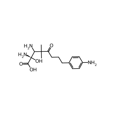 CC(C)(C(=O)CCCc1ccc(N)cc1)C(N)[C@](N)(O)C(=O)O